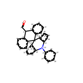 O=CC1c2ccccc2C2(c3ccccc31)c1ccccc1N(c1ccccc1)c1ccccc12